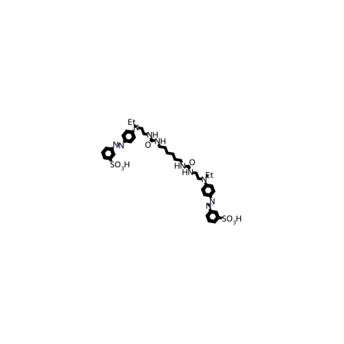 CCN(CCNC(=O)NCCCCCCNC(=O)NCCN(CC)c1ccc(/N=N/c2cccc(S(=O)(=O)O)c2)cc1)c1ccc(/N=N/c2cccc(S(=O)(=O)O)c2)cc1